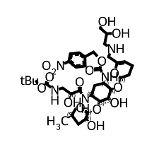 C[C@@H]1CO[C@H](O[C@@H]2[C@@H](O)[C@H](O[C@@H]3CCC=C(CNCC(O)CO)O3)[C@@H](NC(=O)OCc3ccc([N+](=O)[O-])cc3)C[C@H]2NC(=O)[C@H](O)CNC(=O)OC(C)(C)C)[C@H](O)C1